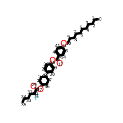 CCCCCCCCCCCOc1ccc(C(=O)Oc2ccc([C@H]3CC[C@H](OC(=O)[C@@H](F)CCCC)CC3)cc2)cc1